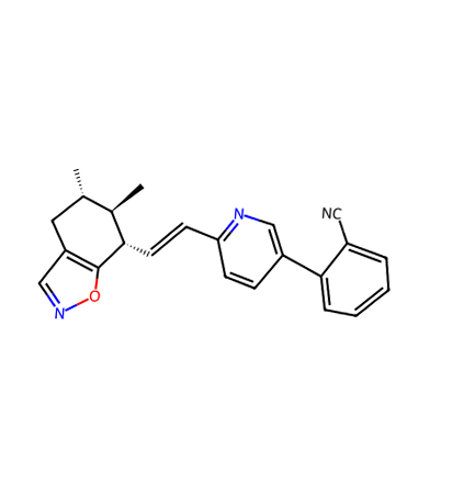 C[C@H]1[C@H](/C=C/c2ccc(-c3ccccc3C#N)cn2)c2oncc2C[C@@H]1C